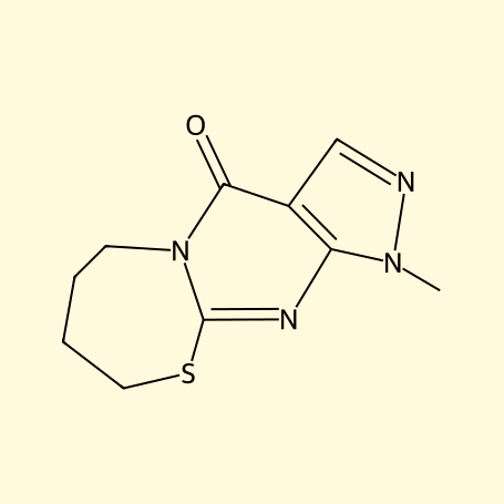 Cn1ncc2c(=O)n3c(nc21)SCCCC3